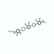 CCCCOc1ccc(C2CCC(c3ccc(C4CC=C(c5ccc(OCC)c(F)c5F)CC4)c(F)c3F)CC2)c(F)c1F